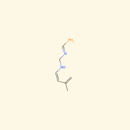 C=C(C)/C=C\NC/N=C/P